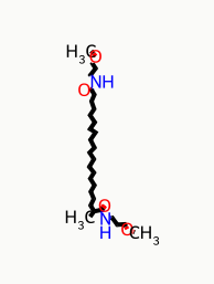 COCCCNC(=O)CCCCCCCCCCCCCCCCCCC(C)C(=O)NCCCOC